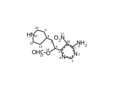 Nc1ncnc(C(CC2CCNCC2)OC=O)c1[N+](=O)[O-]